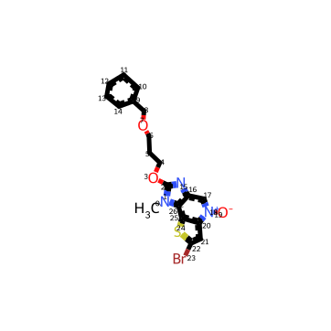 Cn1c(OCCCOCc2ccccc2)nc2c[n+]([O-])c3cc(Br)sc3c21